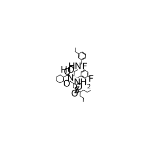 CCCC(CCC)S(=O)(=O)CC(N)C(=O)N(C(=O)C1CCCCC1)[C@@H](Cc1cc(F)cc(F)c1)[C@H](O)CNCc1cccc(CC)c1